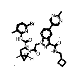 Cc1ncc(-c2ccc3c(c2)c(C(=O)NCC2CCC2)nn3CC(=O)N2[C@H](C(=O)Nc3nc(Br)ccc3C)C[C@@]3(C)C[C@@H]23)cn1